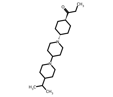 CCC(=O)[C@H]1CC[C@H](N2CCC(N3CCC(C(C)C)CC3)CC2)CC1